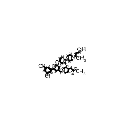 COC(=O)CC1CCN(Cc2cc(Oc3cnc(N4CCN(C(C)CCO)CC4)nc3)nc(-c3cc(Cl)cc(Cl)c3)c2)CC1